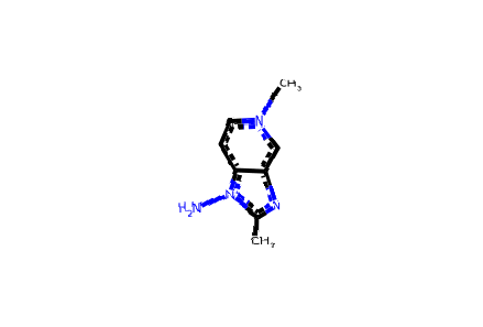 Cc1nc2cn(C)ccc-2[n+]1N